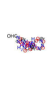 Cc1c2oc3c(C)ccc(C(=O)NC4C(=O)NC(C(C)C)ON5CCCC5C(=O)N(C)CC(=O)N(C)C(C(C)C)C(=O)OC4C)c3nc-2c(C(=O)NC(C(=O)NC(ON2CCCC2C(=O)N(C)CC=O)C(C)C)C(C)OC(=O)C(C(C)C)N(C)C)c(N)c1=O